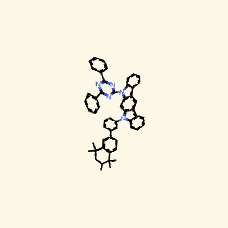 CC1CC(C)(C)c2cc(-c3cccc(-n4c5ccccc5c5cc6c7ccccc7n(-c7nc(-c8ccccc8)nc(-c8ccccc8)n7)c6cc54)c3)ccc2C1(C)C